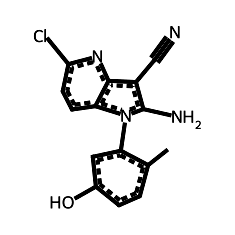 Cc1ccc(O)cc1-n1c(N)c(C#N)c2nc(Cl)ccc21